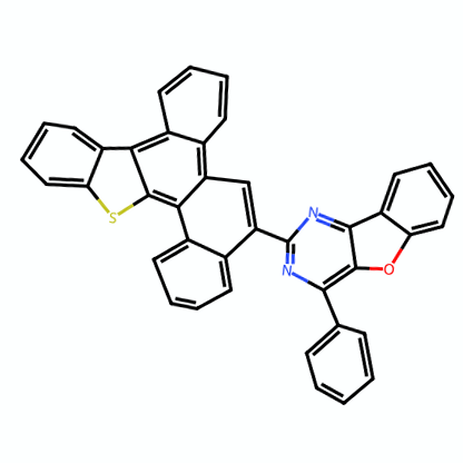 c1ccc(-c2nc(-c3cc4c5ccccc5c5c6ccccc6sc5c4c4ccccc34)nc3c2oc2ccccc23)cc1